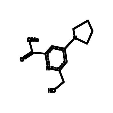 COC(=O)c1cc(N2CCCC2)cc(CO)n1